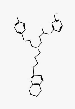 COc1nccc(NC(CCN(CCCCc2ccc3c(n2)NCCC3)CCOc2ccc(C)nc2)C(=O)O)n1